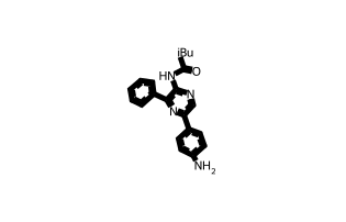 CCC(C)C(=O)Nc1ncc(-c2ccc(N)cc2)nc1-c1ccccc1